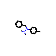 Cc1ccc(N(Cc2ccccc2)N(C)C)cc1